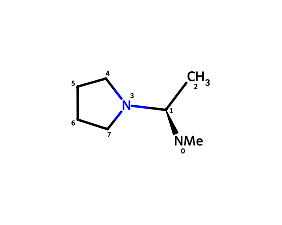 CN[C@H](C)N1CCCC1